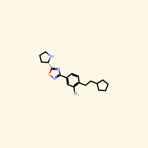 FC(F)(F)c1cc(-c2noc([C@@H]3CCCN3)n2)ccc1CCC1CCCC1